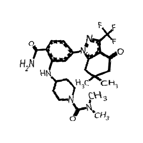 CN(C)C(=O)N1CCC(Nc2cc(-n3nc(C(F)(F)F)c4c3CC(C)(C)CC4=O)ccc2C(N)=O)CC1